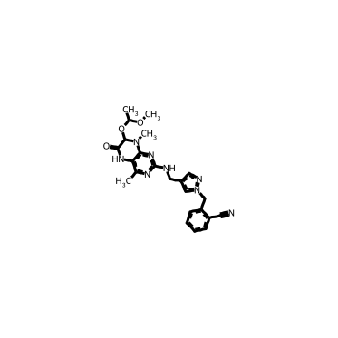 COC(C)OC1C(=O)Nc2c(C)nc(NCc3cnn(Cc4ccccc4C#N)c3)nc2N1C